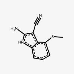 CSc1cccc2[nH]c(N)c(C#N)c12